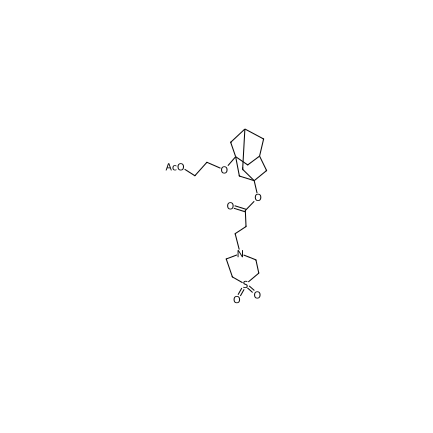 CC(=O)OCCOC12CC3CC(C1)CC(OC(=O)CCN1CCS(=O)(=O)CC1)(C3)C2